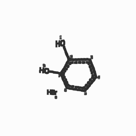 Br.Oc1ccccc1O